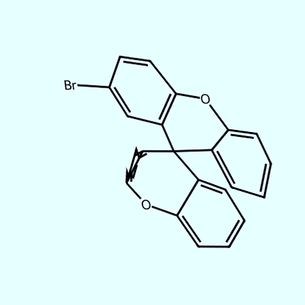 Brc1ccc2c(c1)C1(c3ccccc3Oc3ccccc31)c1ccccc1O2